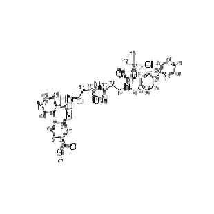 COC(=O)c1ccc2c(c1)nc(NCCc1nc(CCN(Cc3ccc(-c4ccccc4)c(Cl)c3)C(=O)OC(C)(C)C)no1)c1ccncc12